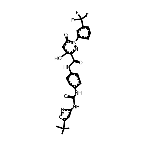 CC(C)(C)c1cc(NC(=O)Nc2ccc(NC(=O)c3nn(-c4cccc(C(F)(F)F)c4)c(=O)cc3O)cc2)no1